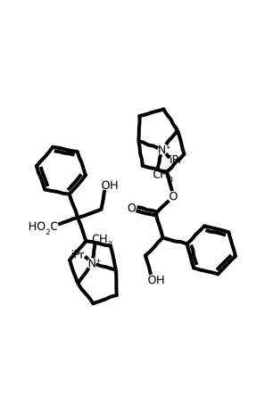 CC(C)[N+]1(C)C2CCC1CC(C(CO)(C(=O)O)c1ccccc1)C2.CC(C)[N+]1(C)C2CCC1CC(OC(=O)C(CO)c1ccccc1)C2